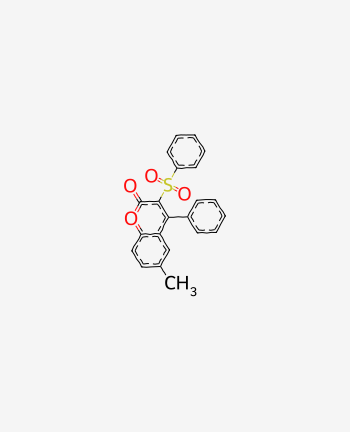 Cc1ccc2oc(=O)c(S(=O)(=O)c3ccccc3)c(-c3ccccc3)c2c1